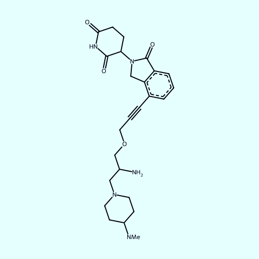 CNC1CCN(CC(N)COCC#Cc2cccc3c2CN(C2CCC(=O)NC2=O)C3=O)CC1